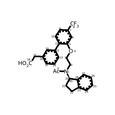 CC(=O)N(CCOc1cc(C(F)(F)F)ccc1-c1cccc(CC(=O)O)c1)[C@@H]1CCc2ccccc21